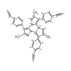 Cc1nn2c(c1-c1ccc(C#N)cc1)n1nc(C)c(-c3ccc(C#N)cc3)c1n1nc(C)c(-c3ccc(C#N)cc3)c21